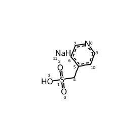 O=S(=O)(O)Cc1ccncc1.[NaH]